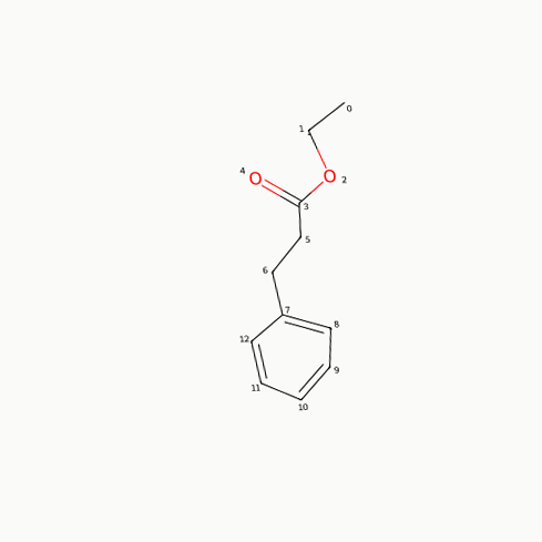 C[CH]OC(=O)CCc1ccccc1